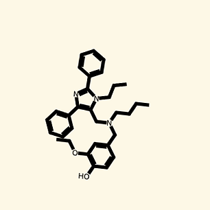 CCCCN(Cc1ccc(O)c(OCC)c1)Cc1c(-c2ccccc2)nc(-c2ccccc2)n1CCC